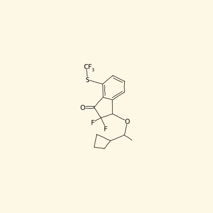 CC(OC1c2cccc(SC(F)(F)F)c2C(=O)C1(F)F)C1CCC1